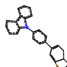 C1=CC2CC=C(c3ccc(-n4c5ccccc5c5ccccc54)cc3)C=C2S1